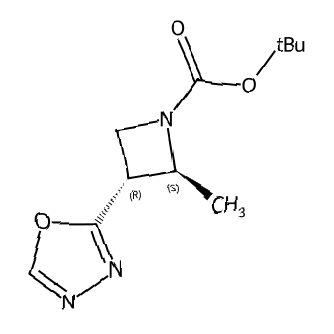 C[C@H]1[C@H](c2nnco2)CN1C(=O)OC(C)(C)C